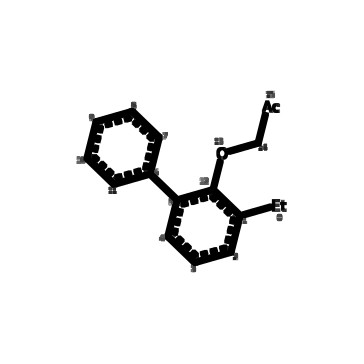 CCc1cccc(-c2ccccc2)c1OCC(C)=O